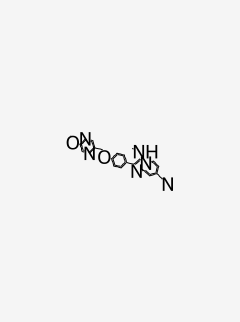 CNc1c(-c2ccc(OCc3cnc(OC)cn3)cc2)nc2cc(C#N)ccn12